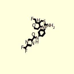 NC1=N[C@@]2(c3cc(NC(=O)c4cnc(C(F)F)cn4)ccc3F)CCOC(CF)[C@H]2CS1